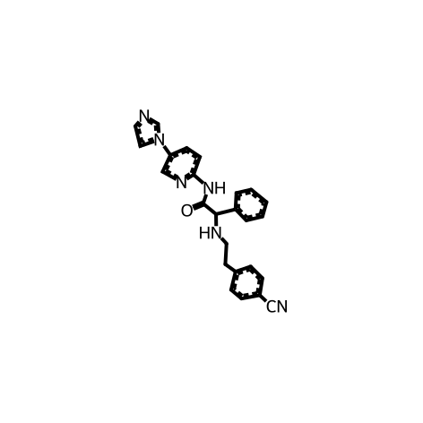 N#Cc1ccc(CCNC(C(=O)Nc2ccc(-n3ccnc3)cn2)c2ccccc2)cc1